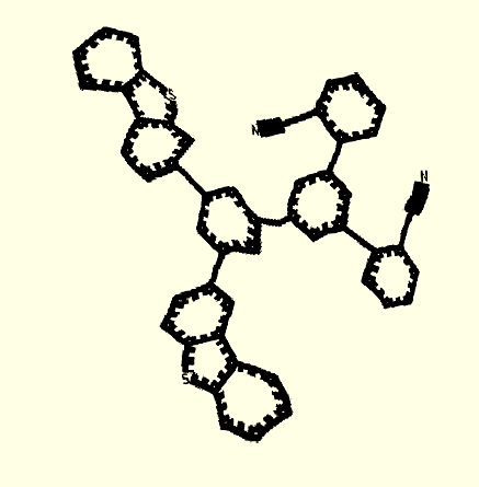 N#Cc1ccccc1-c1cc(-c2cc(-c3ccc4c(c3)sc3ccccc34)cc(-c3ccc4sc5ccccc5c4c3)c2)cc(-c2ccccc2C#N)c1